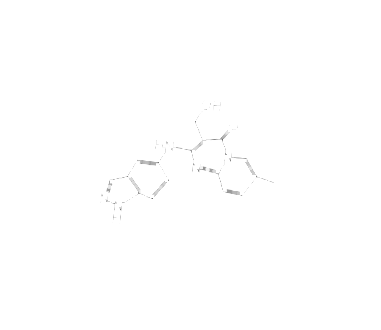 Cc1ccc2nc(Nc3ccc4[nH]ncc4c3)c(CO)c(=O)n2c1